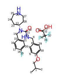 CC(C)COc1ccc(CNC(=O)N(Cc2ccc(F)cc2)[C@@H]2CCCNCC2)cc1.O=C(O)C(F)(F)F